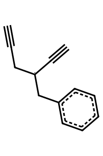 C#CC[C](C#C)Cc1ccccc1